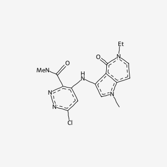 CCn1ccc2c(c(Nc3cc(Cl)nnc3C(=O)NC)cn2C)c1=O